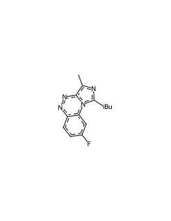 CCC(C)c1nc(C)c2nnc3ccc(F)cc3n12